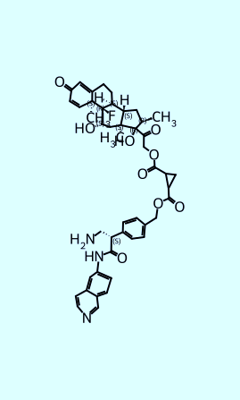 C[C@@H]1C[C@H]2[C@@H]3CCC4=CC(=O)C=C[C@]4(C)[C@@]3(F)[C@@H](O)C[C@]2(C)[C@@]1(O)C(=O)COC(=O)C1CC1C(=O)OCc1ccc([C@@H](CN)C(=O)Nc2ccc3cnccc3c2)cc1